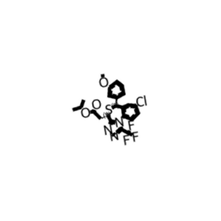 COc1cccc([C@@H]2S[C@@H](CC(=O)OC(C)C)c3nnc(C(F)(F)F)n3-c3ccc(Cl)cc32)c1